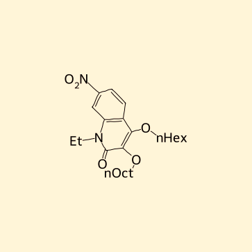 CCCCCCCCOc1c(OCCCCCC)c2ccc([N+](=O)[O-])cc2n(CC)c1=O